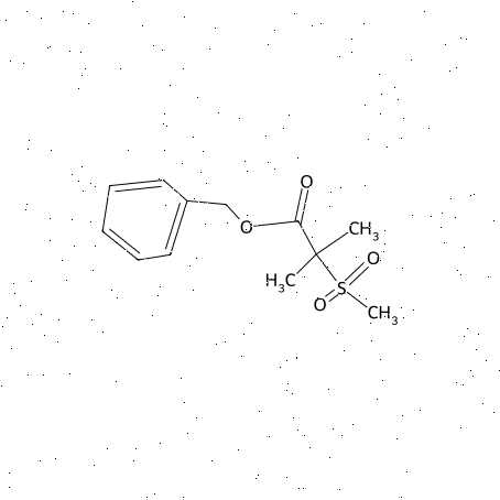 CC(C)(C(=O)OCc1ccccc1)S(C)(=O)=O